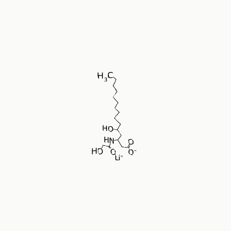 CCCCCCCCCCC(O)CC(CC(=O)[O-])NC(=O)CO.[Li+]